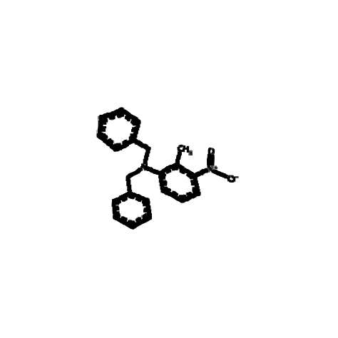 Cc1c(N(Cc2ccccc2)Cc2ccccc2)cccc1[N+](=O)[O-]